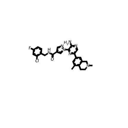 Cc1cc(-c2cnc(N)c(-n3cc(C(=O)NCc4ccc(F)cc4Cl)cn3)n2)cc2c1CCN(C)C2